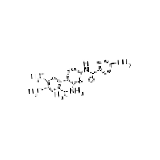 Cc1ccc(C(=O)Nc2ccc(-c3cc(C)c(C)cc3C)c(N)n2)cc1